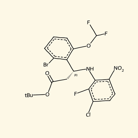 CC(C)(C)OC(=O)C[C@@H](Nc1c([N+](=O)[O-])ccc(Cl)c1F)c1c(Br)cccc1OC(F)F